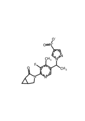 Cc1c(C(C)n2cc([N+](=O)[O-])cn2)cnc(N2CC3CC3C2=O)c1F